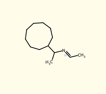 C/C=N/C(C)C1CCCCCCCC1